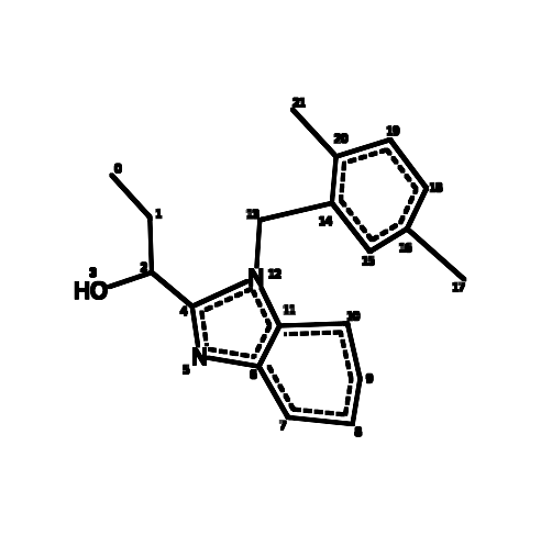 CCC(O)c1nc2ccccc2n1Cc1cc(C)ccc1C